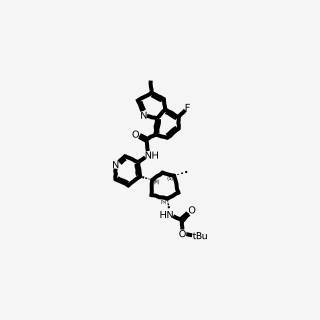 Cc1cnc2c(C(=O)Nc3cnccc3[C@@H]3C[C@H](C)C[C@H](NC(=O)OC(C)(C)C)C3)ccc(F)c2c1